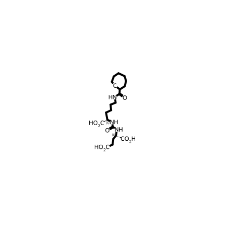 O=C(O)CC[C@H](NC(=O)N[C@@H](CCCCNC(=O)C1CCCCCCC1)C(=O)O)C(=O)O